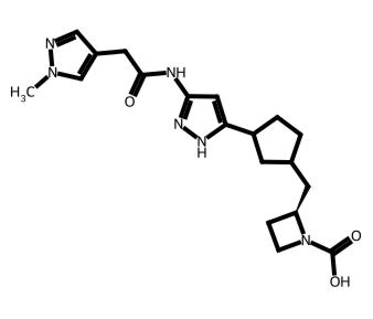 Cn1cc(CC(=O)Nc2cc(C3CCC(C[C@@H]4CCN4C(=O)O)C3)[nH]n2)cn1